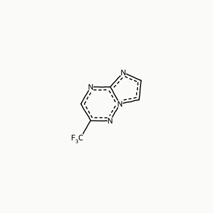 FC(F)(F)c1cnc2nccn2n1